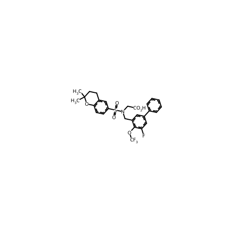 CC1(C)CCc2cc(S(=O)(=O)N(CC(=O)O)Cc3cc(-c4ccccc4)cc(F)c3OC(F)(F)F)ccc2O1